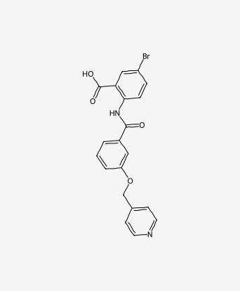 O=C(Nc1ccc(Br)cc1C(=O)O)c1cccc(OCc2ccncc2)c1